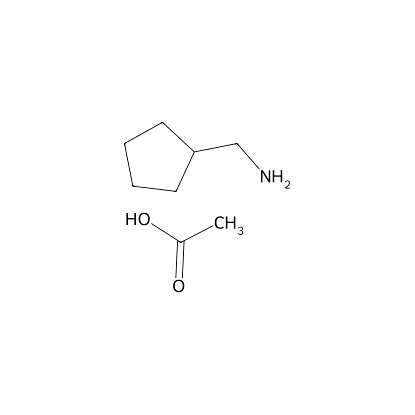 CC(=O)O.NCC1CCCC1